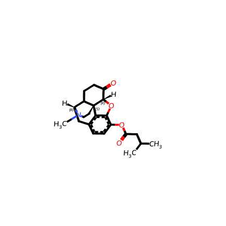 CC(C)CC(=O)Oc1ccc2c3c1O[C@H]1C(=O)CCC4[C@@H](C2)N(C)CC[C@@]341